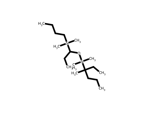 CCCC[Si](C)(C)C(CC)O[Si](C)(C)C(C)(CC)CCC